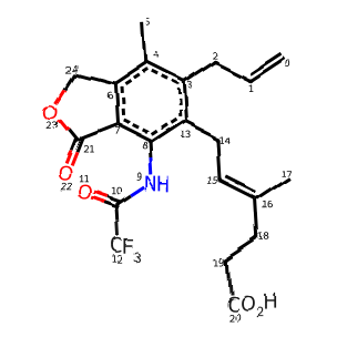 C=CCc1c(C)c2c(c(NC(=O)C(F)(F)F)c1C/C=C(\C)CCC(=O)O)C(=O)OC2